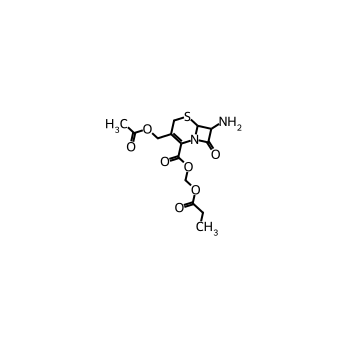 CCC(=O)OCOC(=O)C1=C(COC(C)=O)CSC2C(N)C(=O)N12